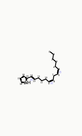 CCCCC/C=C\C/C=C\CCC/C=C/c1ccc[nH]1